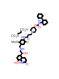 COc1cc(NC(=O)CCN2CCC(OC(=O)Nc3ccccc3-c3ccccc3)CC2)c(Cl)cc1CNC[C@H](O)c1ccc(O)c2[nH]c(=O)ccc12.O=C(O)CCC(=O)O